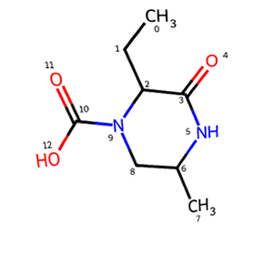 CCC1C(=O)NC(C)CN1C(=O)O